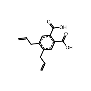 C=CCc1cc(C(=O)O)c(C(=O)O)cc1CC=C